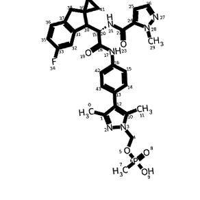 Cc1nn(COP(C)(=O)O)c(C)c1-c1ccc(NC(=O)[C@@H](NC(=O)c2ccnn2C)C2c3cc(F)ccc3CC23CC3)cc1